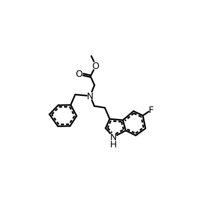 COC(=O)CN(CCc1c[nH]c2ccc(F)cc12)Cc1ccccc1